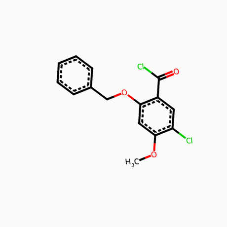 COc1cc(OCc2ccccc2)c(C(=O)Cl)cc1Cl